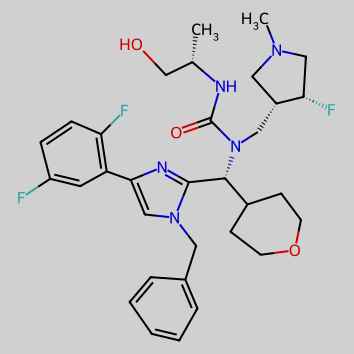 C[C@@H](CO)NC(=O)N(C[C@@H]1CN(C)C[C@@H]1F)[C@@H](c1nc(-c2cc(F)ccc2F)cn1Cc1ccccc1)C1CCOCC1